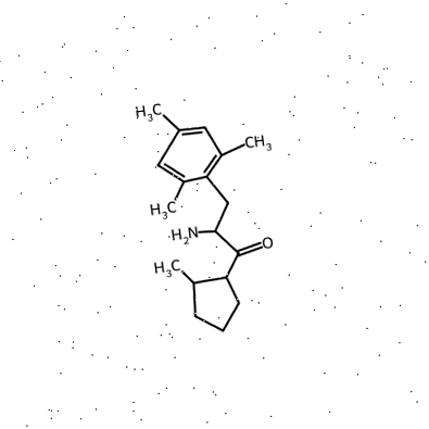 Cc1cc(C)c(CC(N)C(=O)C2CCCC2C)c(C)c1